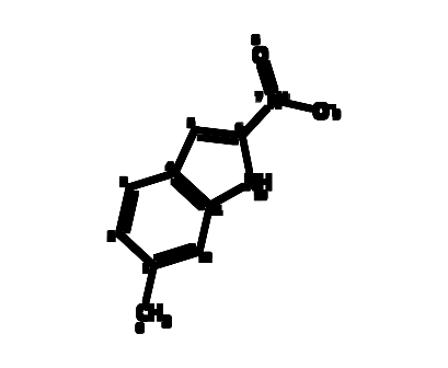 Cc1ccc2cc([N+](=O)[O-])[nH]c2c1